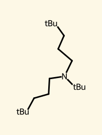 CC(C)(C)CCCN(CCCC(C)(C)C)C(C)(C)C